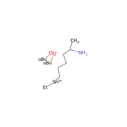 CCCC[O-].CCCC[O-].C[CH2][Sn+2][CH2]CCCC(C)N